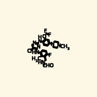 Cc1c(Nc2nc(Nc3ccc(N4CCN(C)CC4)cc3OC(F)F)ncc2Cl)ccc(F)c1CNC=O